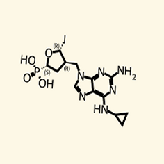 Nc1nc(NC2CC2)c2ncn(C[C@H]3C[C@H](P(=O)(O)O)O[C@@H]3I)c2n1